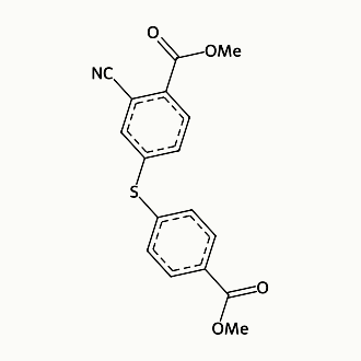 COC(=O)c1ccc(Sc2ccc(C(=O)OC)c(C#N)c2)cc1